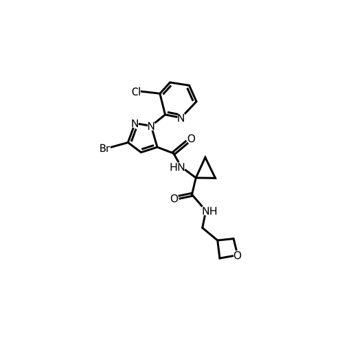 O=C(NC1(C(=O)NCC2COC2)CC1)c1cc(Br)nn1-c1ncccc1Cl